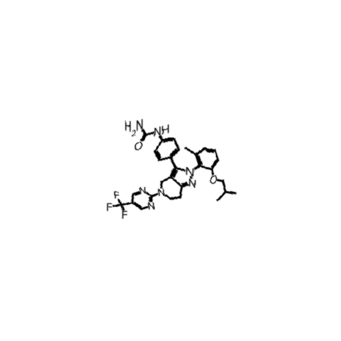 Cc1cccc(OCC(C)C)c1-n1nc2c(c1-c1ccc(NC(N)=O)cc1)CN(c1ncc(C(F)(F)F)cn1)CC2